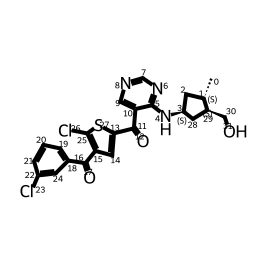 C[C@H]1C[C@H](Nc2ncncc2C(=O)c2cc(C(=O)c3cccc(Cl)c3)c(Cl)s2)C[C@@H]1CO